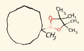 CC1(B2OC(C)(C)C(C)(C)O2)CCCCCCCCCCCCC1